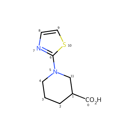 O=C(O)C1CCCN(c2nccs2)C1